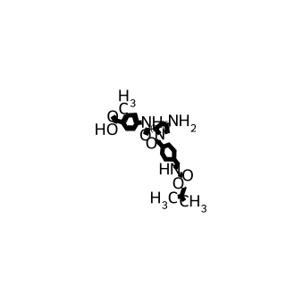 Cc1cc(NC(=O)[C@@H]2C[C@H](N)CN2C(=O)C2CCC(CNC(=O)OCC(C)C)CC2)ccc1C(=O)O